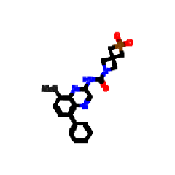 COc1ccc(-c2ccccc2)c2ncc(NC(=O)N3CC4(C3)CS(=O)(=O)C4)nc12